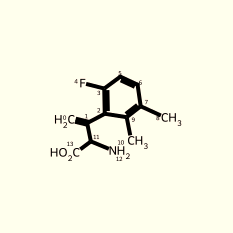 C=C(c1c(F)ccc(C)c1C)C(N)C(=O)O